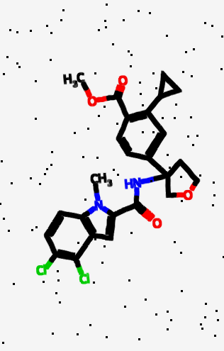 COC(=O)c1ccc(C2(NC(=O)c3cc4c(Cl)c(Cl)ccc4n3C)CCOC2)cc1C1CC1